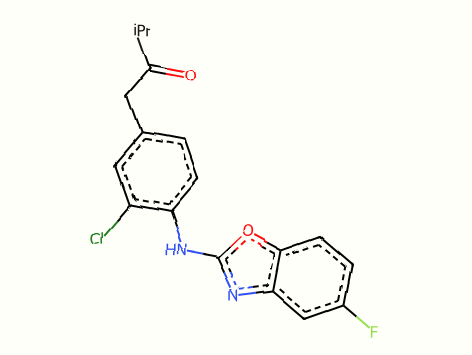 CC(C)C(=O)Cc1ccc(Nc2nc3cc(F)ccc3o2)c(Cl)c1